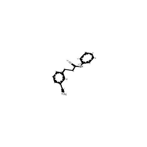 C#Cc1cccc(CCC(=O)Nc2ccccc2)c1